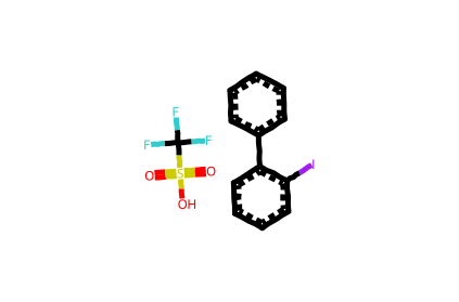 Ic1ccccc1-c1ccccc1.O=S(=O)(O)C(F)(F)F